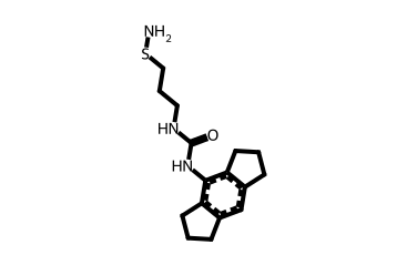 NSCCCNC(=O)Nc1c2c(cc3c1CCC3)CCC2